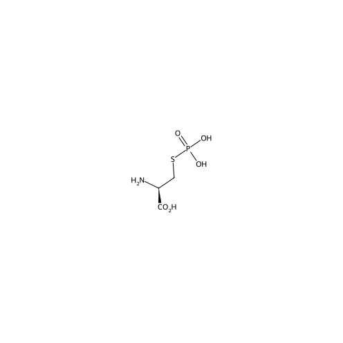 N[C@@H](CSP(=O)(O)O)C(=O)O